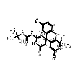 CC(C)(C)OC(=O)NC1=NC2(CC(=O)N1)C1=C(Oc3ccc(Br)cc32)[C@@](C)(F)NC(Cl)=C1